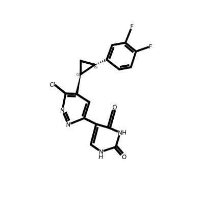 O=c1[nH]cc(-c2cc([C@H]3C[C@@H]3c3ccc(F)c(F)c3)c(Cl)nn2)c(=O)[nH]1